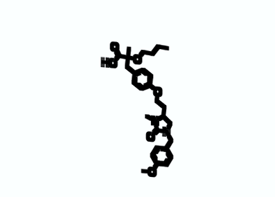 CCCCOC(C)(Cc1ccc(OCCC2CN(Cc3ccc(OC)cc3)C(=O)N2C)cc1)C(=O)O